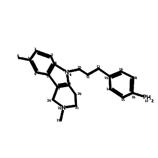 Cc1ccc2c(c1)c1c(n2CCCc2ccc(P)cc2)CCN(C)C1